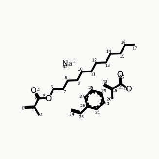 C=C(C)C(=O)OCCCCCCCCCCCC.C=C(C)C(=O)[O-].C=Cc1ccccc1.[Na+]